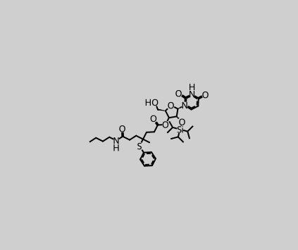 CCCCNC(=O)CCC(C)(CCC(=O)OC1[C@@H](CO)O[C@@H](n2ccc(=O)[nH]c2=O)[C@H]1O[Si](C(C)C)(C(C)C)C(C)C)Sc1ccccc1